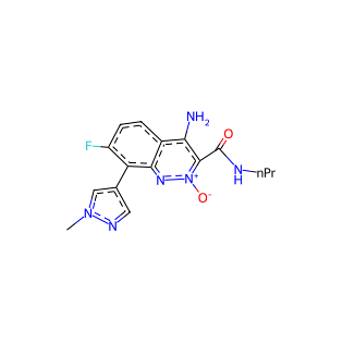 CCCNC(=O)c1c(N)c2ccc(F)c(-c3cnn(C)c3)c2n[n+]1[O-]